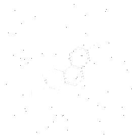 O=S(O)Oc1ccc2cc(Br)ccc2c1Br